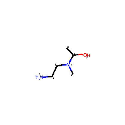 CC(O)N(C)CCN